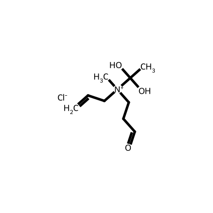 C=CC[N+](C)(CCC=O)C(C)(O)O.[Cl-]